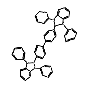 C1=CCCC(N2B(c3ccc(-c4ccc(B5N(c6ccccc6)c6ccccc6N5c5ccccc5)cc4)cc3)N(c3ccccc3)c3ccccc32)=C1